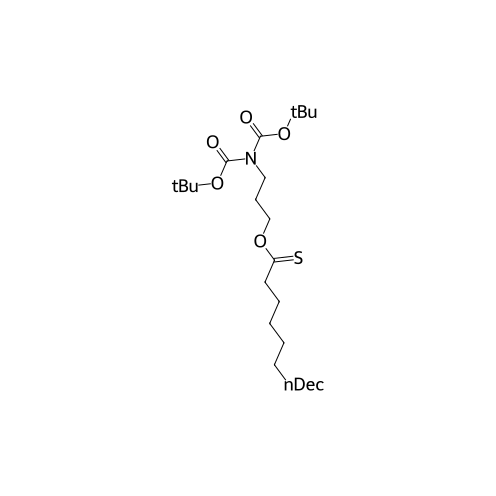 CCCCCCCCCCCCCCCC(=S)OCCCN(C(=O)OC(C)(C)C)C(=O)OC(C)(C)C